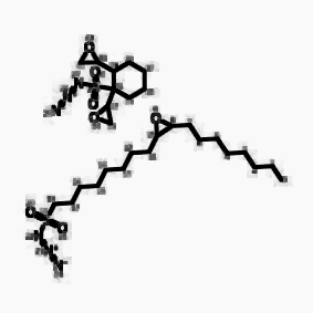 CCCCCCCCC1OC1CCCCCCCCS(=O)(=O)N=[N+]=[N-].[N-]=[N+]=NS(=O)(=O)C1(C2CO2)CCCCC1C1CO1